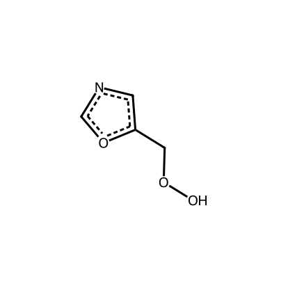 OOCc1cnco1